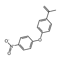 C=C(C)c1ccc(Oc2ccc([N+](=O)[O-])cc2)cc1